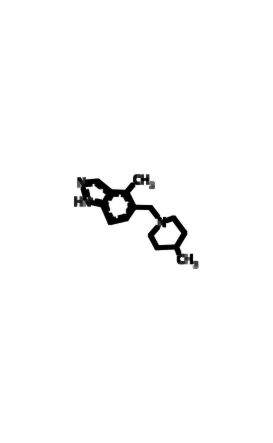 Cc1c(CN2CCC(C)CC2)ccc2[nH]ncc12